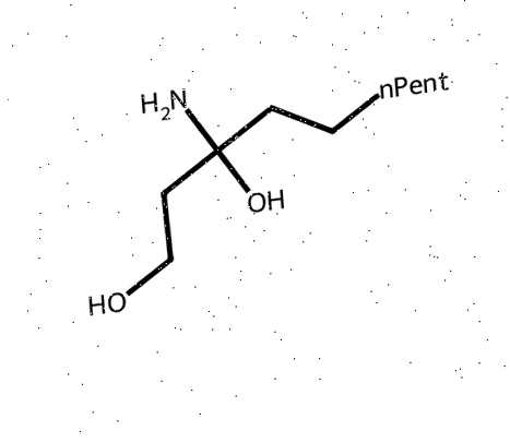 CCCCCCCC(N)(O)CCO